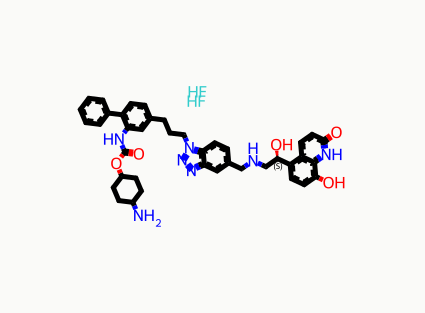 F.F.NC1CCC(OC(=O)Nc2cc(CCCn3nnc4cc(CNC[C@@H](O)c5ccc(O)c6[nH]c(=O)ccc56)ccc43)ccc2-c2ccccc2)CC1